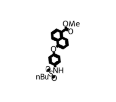 CCCCS(=O)(=O)Nc1ccc(Oc2cccc3c(C(=O)OC)cccc23)cc1